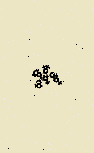 CC(C)(C)c1cc2c3c(c1)N(c1ccc4c(c1)-c1ccc(C(C)(C)C)cc1C4(C)C)c1cc4c(cc1B3c1cc3c(cc1N2c1ccc2c(c1)C(C)(C)CCC2(C)C)C(C)(C)CCC3(C)C)C(C)(C)CC4(C)C